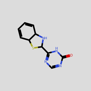 O=c1ncnc(C2NC3C=CC=CC3S2)[nH]1